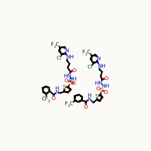 O=C(CCCNc1ncc(C(F)(F)F)cc1Cl)NNS(=O)(=O)c1ccc(CNC(=O)c2cccc(C(F)(F)F)c2)s1.O=C(CCCNc1ncc(C(F)(F)F)cc1Cl)NNS(=O)(=O)c1ccc(CNC(=O)c2ccccc2C(F)(F)F)s1